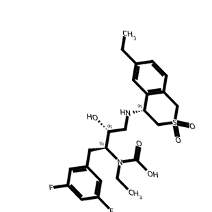 CCc1ccc2c(c1)[C@@H](NC[C@@H](O)[C@H](Cc1cc(F)cc(F)c1)N(CC)C(=O)O)CS(=O)(=O)C2